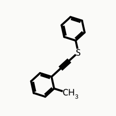 Cc1ccccc1C#CSc1ccccc1